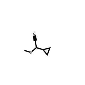 CSC(C#N)C1CC1